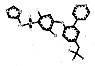 O=S(=O)(Nc1cscn1)c1cc(Cl)c(Oc2ccc(CC(F)(F)F)cc2-c2ccnnc2)cc1F